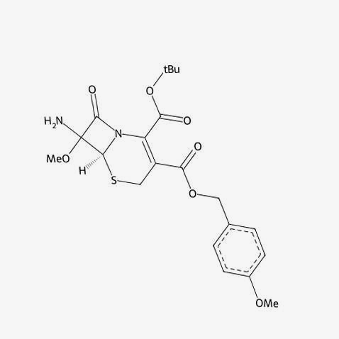 COc1ccc(COC(=O)C2=C(C(=O)OC(C)(C)C)N3C(=O)C(N)(OC)[C@@H]3SC2)cc1